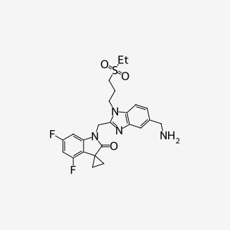 CCS(=O)(=O)CCCn1c(CN2C(=O)C3(CC3)c3c(F)cc(F)cc32)nc2cc(CN)ccc21